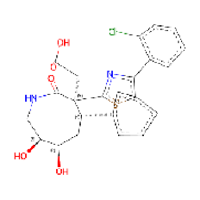 O=C(O)C[C@@]1(c2nc(-c3ccccc3Cl)cs2)C(=O)NC[C@H](O)[C@H](O)C[C@H]1c1ccccc1